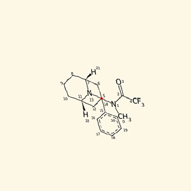 CN(C(=O)C(F)(F)F)C1C[C@H]2CCC[C@@H](C1)N2Cc1ccccc1